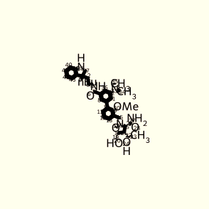 CCCCC1(CCNC(=O)c2cc(-c3cccc(CN4O[C@@H](CO)[C@@H]([C@H](C)O)[C@H]4C(N)=O)c3OC)cc(N(C)C)c2)CNc2ccccc21